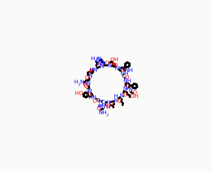 CCCC[C@H]1C(=O)N(C)[C@@H](CCCC)C(=O)N[C@@H](CC(C)C)C(=O)N[C@H](C(=O)NCC(N)=O)CNCC(=O)N[C@@H](Cc2ccc(O)cc2)C(=O)N(C)[C@@H](C)C(=O)NC(CC(N)=O)C(=O)N2CCC[C@H]2C(=O)N[C@@H](Cc2cnc[nH]2)C(=O)N[C@@H](CCCN)C(=O)N2C[C@H](O)C[C@H]2C(=O)N[C@@H](Cc2c[nH]c3ccccc23)C(=O)NCC(=O)N[C@@H](Cc2cn(CC(=O)O)c3ccccc23)C(=O)N1C